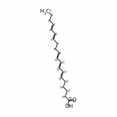 CCCC=CC=CCCC=CC=CC=CCCCCC(=O)O